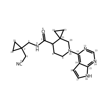 N#CCC1(CNC(=O)C2CCN(c3ncnc4[nH]ccc34)CC23CC3)CC1